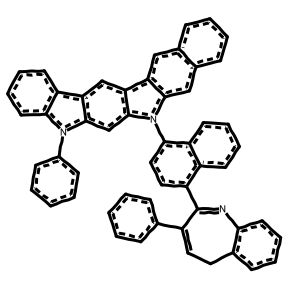 C1=C(c2ccccc2)C(c2ccc(-n3c4cc5ccccc5cc4c4cc5c6ccccc6n(-c6ccccc6)c5cc43)c3ccccc23)=Nc2ccccc2C1